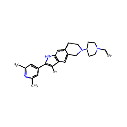 Cc1cc(-c2[nH]c3cc4c(cc3c2C(C)C)CN(C2CCN(CC(C)C)CC2)CC4)cc(C)n1